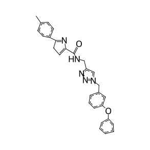 Cc1ccc(C2=NC(C(=O)NCc3cn(Cc4cccc(Oc5ccccc5)c4)nn3)=CC2)cc1